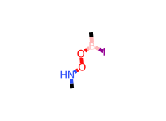 CNOOB(C)I